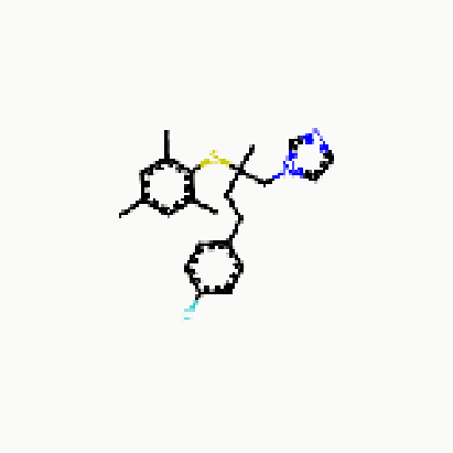 Cc1cc(C)c(SC(C)(CCc2ccc(F)cc2)Cn2ccnc2)c(C)c1